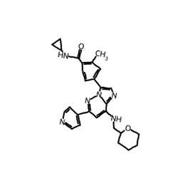 Cc1cc(-c2cnc3c(NCC4CCCCO4)cc(-c4ccncc4)nn23)ccc1C(=O)NC1CC1